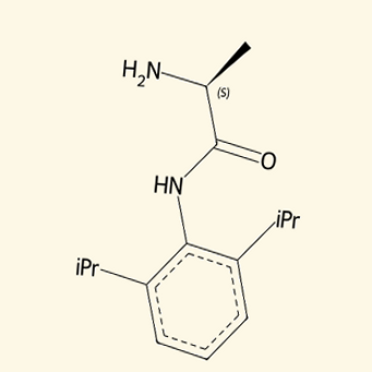 CC(C)c1cccc(C(C)C)c1NC(=O)[C@H](C)N